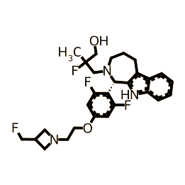 CC(F)(CO)CN1CCCc2c([nH]c3ccccc23)[C@@H]1c1c(F)cc(OCCN2CC(CF)C2)cc1F